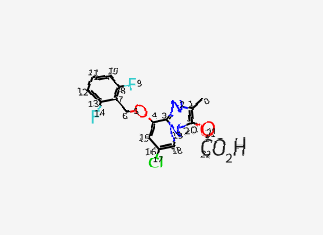 Cc1nc2c(OCc3c(F)cccc3F)cc(Cl)cn2c1OC(=O)O